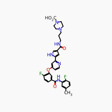 Cc1ccc(F)c(NC(=O)c2ccc(F)c(Oc3ccnc(-c4cc(C(=O)NCCCN5CCN(C(=O)O)CC5)c[nH]4)c3)c2)c1